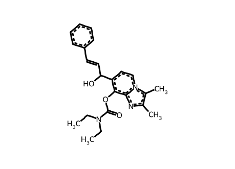 CCN(CC)C(=O)Oc1c(C(O)C=Cc2ccccc2)ccn2c(C)c(C)nc12